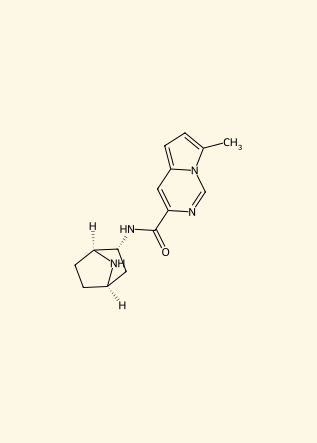 Cc1ccc2cc(C(=O)N[C@@H]3C[C@H]4CC[C@@H]3N4)ncn12